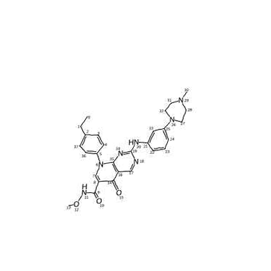 CCc1ccc(-n2cc(C(=O)NOC)c(=O)c3cnc(Nc4cccc(N5CCN(C)CC5)c4)nc32)cc1